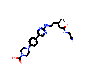 CC(CCNc1ncc(-c2ccc(N3CCN(C(=O)O)CC3)cc2)cn1)CC(=O)NCC#N